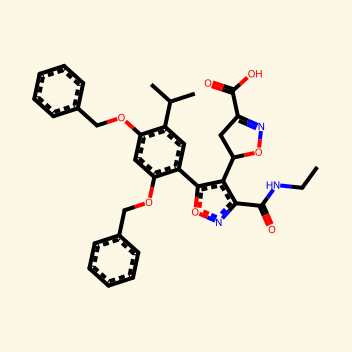 CCNC(=O)c1noc(-c2cc(C(C)C)c(OCc3ccccc3)cc2OCc2ccccc2)c1C1CC(C(=O)O)=NO1